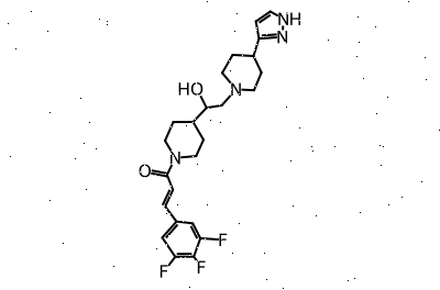 O=C(C=Cc1cc(F)c(F)c(F)c1)N1CCC(C(O)CN2CCC(c3cc[nH]n3)CC2)CC1